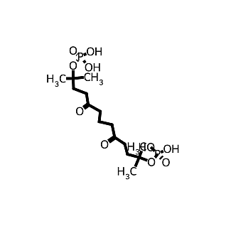 CC(C)(CCC(=O)CCCC(=O)CCC(C)(C)OP(=O)(O)O)OP(=O)(O)O